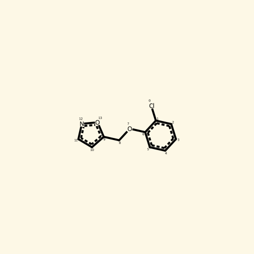 Clc1ccccc1OCc1ccno1